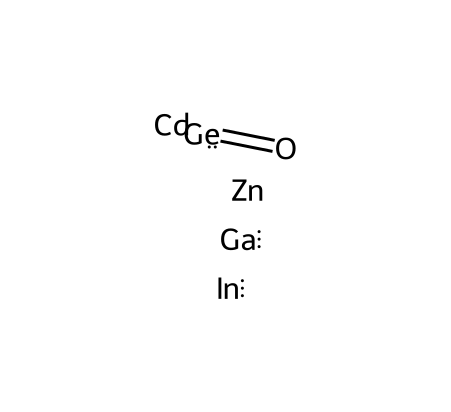 [Cd].[Ga].[In].[O]=[Ge].[Zn]